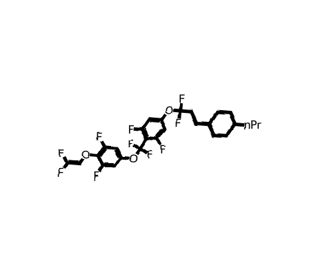 CCCC1CCC(CCC(F)(F)Oc2cc(F)c(C(F)(F)Oc3cc(F)c(OC=C(F)F)c(F)c3)c(F)c2)CC1